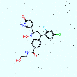 Cn1cc(C(CC(c2ccc(C(=O)NCCO)cc2)c2ccc(Cl)cc2F)=NO)ccc1=O